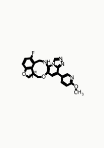 COc1ccc(-c2cc3c(n4cnnc24)NCc2c(F)ccc4c2[C@H](CO4)CO3)cn1